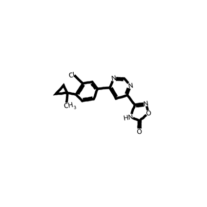 CC1(c2ccc(-c3cc(-c4noc(=O)[nH]4)ncn3)cc2Cl)CC1